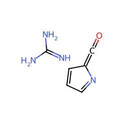 N=C(N)N.O=C=C1C=CC=N1